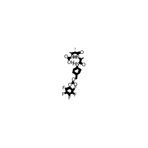 C[C@H](NC(=O)[C@@H](C)[C@H](C)NC(=O)O)C(=O)Nc1ccc(COC(=O)Oc2c(F)c(F)c(F)c(F)c2F)cc1